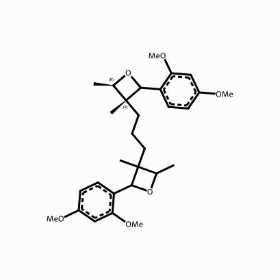 COc1ccc(C2OC(C)C2(C)CCC[C@@]2(C)C(c3ccc(OC)cc3OC)O[C@@H]2C)c(OC)c1